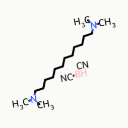 CN(C)CCCCCCCCCCCCN(C)C.N#CBC#N